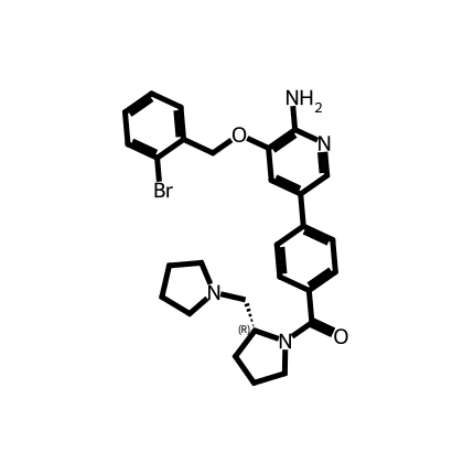 Nc1ncc(-c2ccc(C(=O)N3CCC[C@@H]3CN3CCCC3)cc2)cc1OCc1ccccc1Br